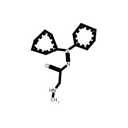 CNCC(=O)N=S(c1ccccc1)c1ccccc1